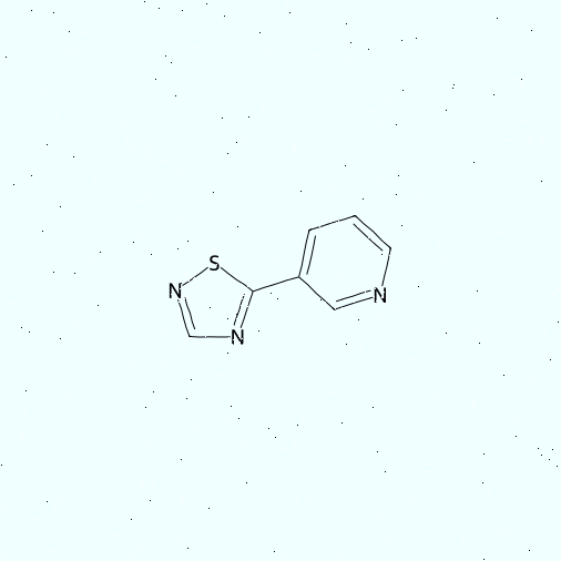 c1cncc(-c2ncns2)c1